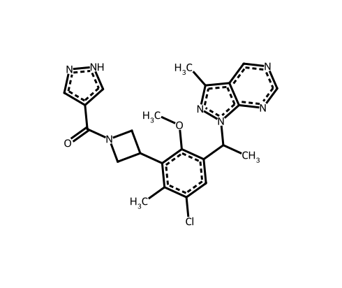 COc1c(C(C)n2nc(C)c3cncnc32)cc(Cl)c(C)c1C1CN(C(=O)c2cn[nH]c2)C1